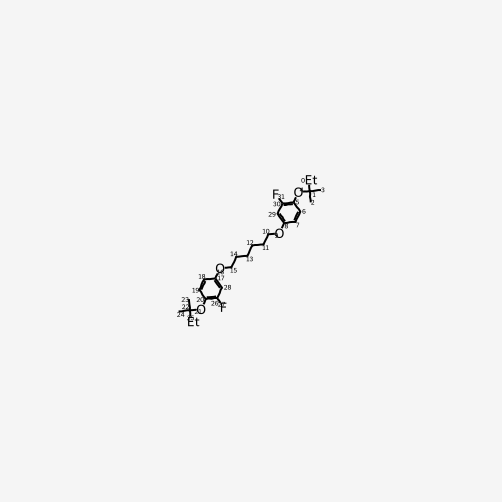 CCC(C)(C)Oc1ccc(OCCCCCCOc2ccc(OC(C)(C)CC)c(F)c2)cc1F